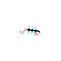 OC(F)(CF)C(F)(F)C(F)(F)OC(F)(F)F